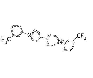 FC(F)(F)c1cccc(-[n+]2ccc(-c3cc[n+](-c4cccc(C(F)(F)F)c4)cc3)cc2)c1